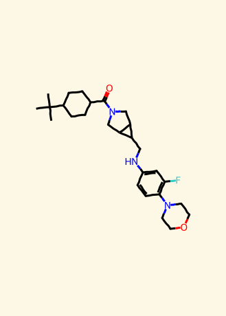 CC(C)(C)C1CCC(C(=O)N2CC3C(CNc4ccc(N5CCOCC5)c(F)c4)C3C2)CC1